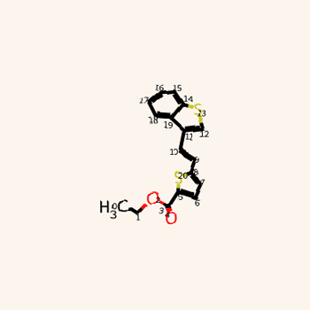 CCOC(=O)c1ccc(/C=C/c2csc3ccccc23)s1